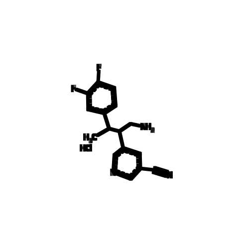 CC(c1ccc(F)c(F)c1)C(CN)c1cncc(C#N)c1.Cl